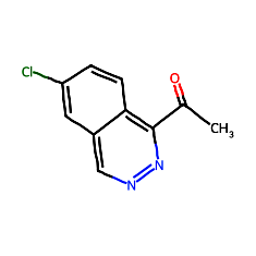 CC(=O)c1nncc2cc(Cl)ccc12